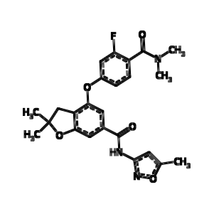 Cc1cc(NC(=O)c2cc(Oc3ccc(C(=O)N(C)C)c(F)c3)c3c(c2)OC(C)(C)C3)no1